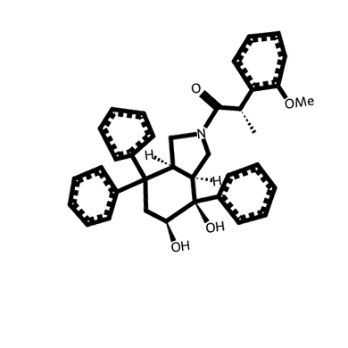 COc1ccccc1[C@H](C)C(=O)N1C[C@@H]2[C@H](C1)C(c1ccccc1)(c1ccccc1)C[C@H](O)[C@@]2(O)c1ccccc1